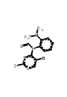 CN(C)c1ccccc1N(C=O)c1nc(Cl)ncc1Cl